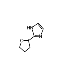 c1c[nH]c([C]2CCCO2)n1